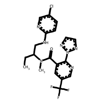 CCC(CNc1ccc(Cl)cn1)N(C)C(=O)c1cc(C(F)(F)F)cnc1-n1nccn1